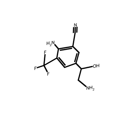 N#Cc1cc(C(O)CN)cc(C(F)(F)F)c1N